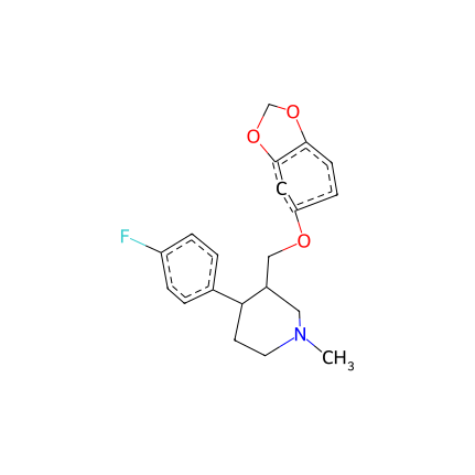 CN1CCC(c2ccc(F)cc2)C(COc2ccc3c(c2)OCO3)C1